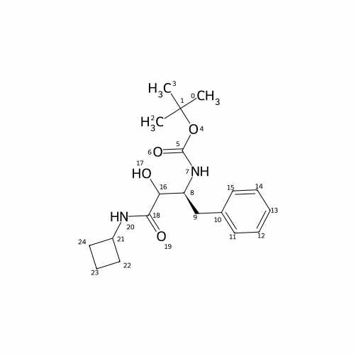 CC(C)(C)OC(=O)N[C@@H](Cc1ccccc1)C(O)C(=O)NC1CCC1